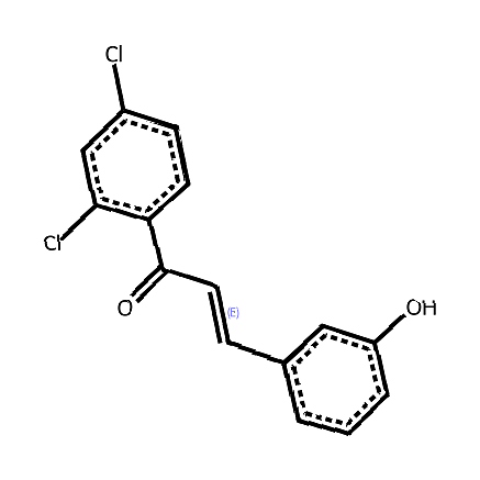 O=C(/C=C/c1cccc(O)c1)c1ccc(Cl)cc1Cl